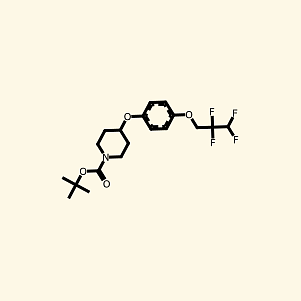 CC(C)(C)OC(=O)N1CCC(Oc2ccc(OCC(F)(F)C(F)F)cc2)CC1